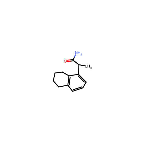 CC(C(N)=O)c1cccc2c1CCCC2